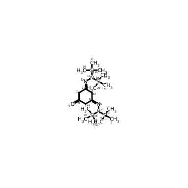 C[Si](C)(C)N(/N=C1\CC(=O)C/C(=N/N([Si](C)(C)C)[Si](C)(C)C)C1)[Si](C)(C)C